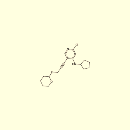 Clc1cc(NC2CCCC2)c(C#CCOC2CCCCO2)cn1